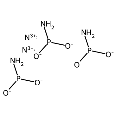 NP([O-])[O-].NP([O-])[O-].NP([O-])[O-].[N+3].[N+3]